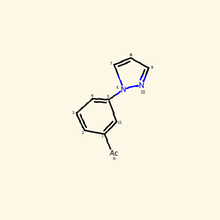 CC(=O)c1cccc(-n2cccn2)c1